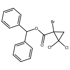 O=C(OC(c1ccccc1)c1ccccc1)C1(Br)CC1(Cl)Cl